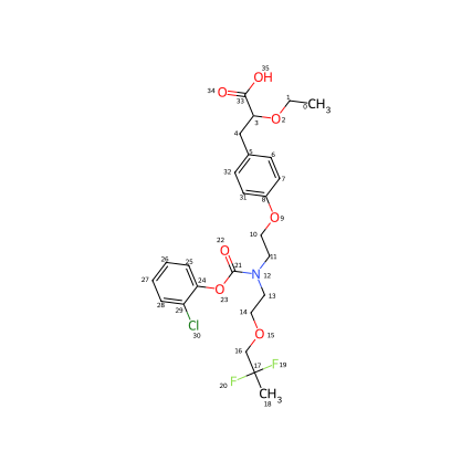 CCOC(Cc1ccc(OCCN(CCOCC(C)(F)F)C(=O)Oc2ccccc2Cl)cc1)C(=O)O